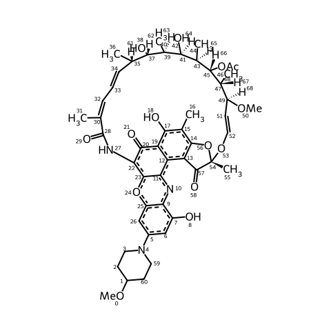 COC1CCN(c2cc(O)c3nc4c5c6c7c(C)c(O)c5c(=O)c(c-4oc3c2)NC(=O)/C(C)=C\C=C\[C@H](C)[C@H](O)[C@@H](C)[C@@H](O)[C@@H](C)[C@H](OC(C)=O)[C@H](C)[C@@H](OC)/C=C/O[C@@](C)(O7)C6=O)CC1